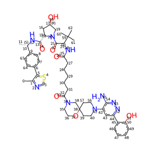 Cc1ncsc1-c1ccc([C@H](C)NC(=O)[C@@H]2C[C@@H](O)CN2C(=O)[C@@H](NC(=O)CCCCCC(=O)N2CCOC3(CCN(c4cc(-c5ccccc5O)nnc4N)CC3)C2)C(C)(C)C)cc1